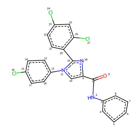 O=C(Nc1ccccc1)c1cn(-c2ccc(Cl)cc2)c(-c2ccc(Cl)cc2Cl)n1